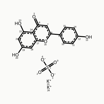 O=S(=O)([O-])[O-].O=c1cc(-c2ccc(O)cc2)oc2cc(O)cc(O)c12.[K+].[K+]